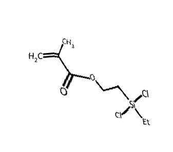 C=C(C)C(=O)OCC[Si](Cl)(Cl)CC